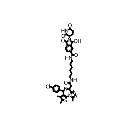 Cc1sc2c(c1C)C(c1ccc(Cl)cc1)=NC(CC(=O)NCCCCCCNC(=O)c1ccc3c(c1)C(O)N(C1CCC(=O)NC1=O)C3=O)c1nnc(C)n1-2